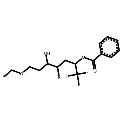 CCOCCC(O)C(F)CC(OC(=O)c1cc[c]cc1)C(F)(F)F